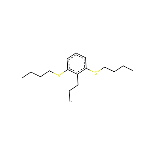 [CH2]CCc1c(SCCCC)cccc1SCCCC